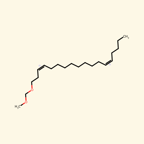 CCCC/C=C\CCCCCCCC/C=C\CCOCOC